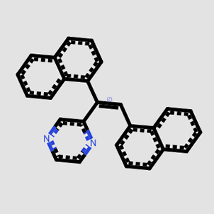 C(=C(/c1cnccn1)c1cccc2ccccc12)/c1cccc2ccccc12